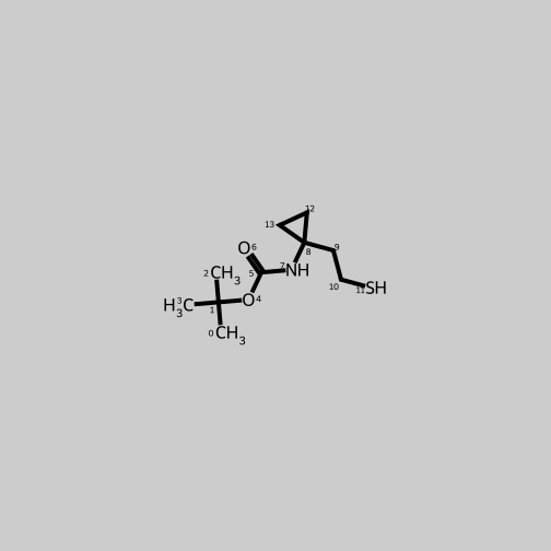 CC(C)(C)OC(=O)NC1(CCS)CC1